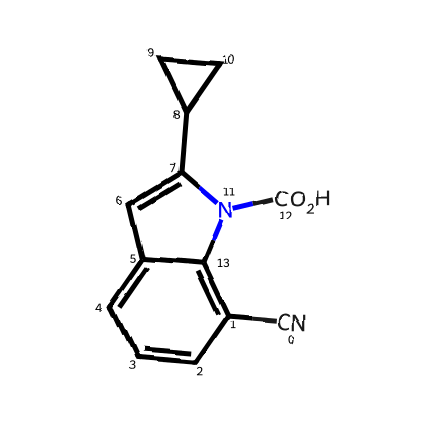 N#Cc1cccc2cc(C3CC3)n(C(=O)O)c12